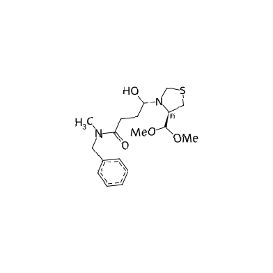 COC(OC)[C@@H]1CSCN1C(O)CCC(=O)N(C)Cc1ccccc1